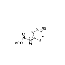 CCCC(=O)NC1CCC(CC)CC1